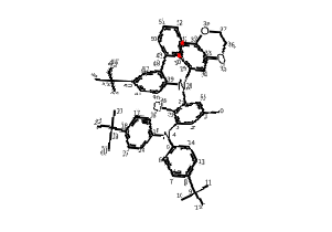 Cc1cc(N(c2ccc(C(C)(C)C)cc2)c2ccc(C(C)(C)C)cc2)c(Cl)c(N(c2ccc3c(c2)OCCO3)c2ccc(C(C)(C)C)cc2-c2ccccc2)c1